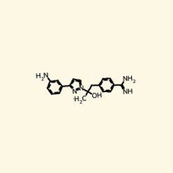 [CH2]C(O)(Cc1ccc(C(=N)N)cc1)n1ccc(-c2cccc(N)c2)n1